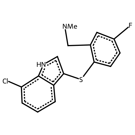 CNCc1cc(F)ccc1Sc1c[nH]c2c(Cl)cccc12